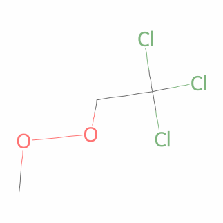 COOCC(Cl)(Cl)Cl